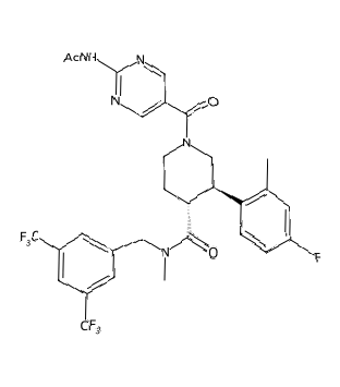 CC(=O)Nc1ncc(C(=O)N2CC[C@@H](C(=O)N(C)Cc3cc(C(F)(F)F)cc(C(F)(F)F)c3)[C@H](c3ccc(F)cc3C)C2)cn1